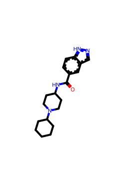 O=C(NC1CCN(C2CCCCC2)CC1)c1ccc2[nH]ncc2c1